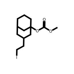 COC(=O)OC12CCCC(CC(CCI)C1)C2